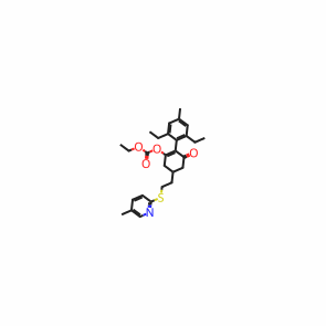 CCOC(=O)OC1=C(c2c(CC)cc(C)cc2CC)C(=O)CC(CCSc2ccc(C)cn2)C1